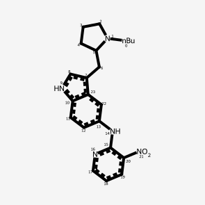 CCCCN1CCCC1Cc1c[nH]c2ccc(Nc3ncccc3[N+](=O)[O-])cc12